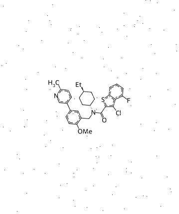 CC[C@H]1CC[C@H](N(Cc2cc(-c3ccc(C)nc3)ccc2OC)C(=O)c2sc3cccc(F)c3c2Cl)CC1